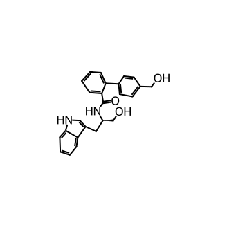 O=C(N[C@@H](CO)Cc1c[nH]c2ccccc12)c1ccccc1-c1ccc(CO)cc1